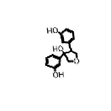 Oc1cccc(C2COCC2(O)c2cccc(O)c2)c1